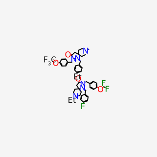 CCN1CCC2(CC1)CC(=O)N(Cc1ccc(OC(F)F)cc1)N2Cc1ccc(F)cc1.CCc1ccc(CN2N(Cc3ccc(OC(F)(F)F)cc3)C(=O)CC23CCN(C)CC3)cc1